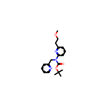 COCCc1cccc(N(Cc2ccccn2)C(=O)OC(C)(C)C)n1